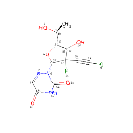 C[C@H](O)[C@H]1O[C@@H](n2ncc(=O)[nH]c2=O)C(F)(C#CCl)[C@H]1O